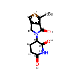 CC(C)(C)c1scc2c1C(=O)N(C1CCC(=O)NC1=O)C2